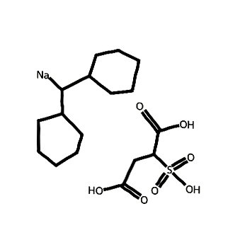 O=C(O)CC(C(=O)O)S(=O)(=O)O.[Na][CH](C1CCCCC1)C1CCCCC1